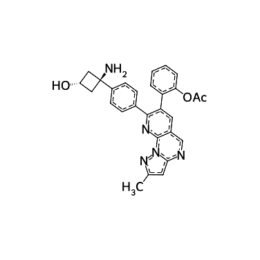 CC(=O)Oc1ccccc1-c1cc2cnc3cc(C)nn3c2nc1-c1ccc([C@]2(N)C[C@H](O)C2)cc1